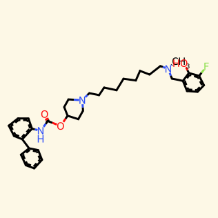 CN(CCCCCCCCCN1CCC(OC(=O)Nc2ccccc2-c2ccccc2)CC1)Cc1cccc(F)c1O